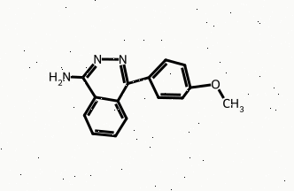 COc1ccc(-c2nnc(N)c3ccccc23)cc1